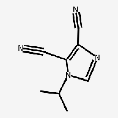 CC(C)n1cnc(C#N)c1C#N